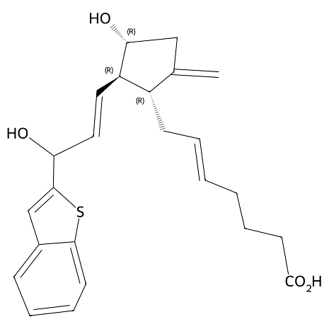 C=C1C[C@@H](O)[C@H](C=CC(O)c2cc3ccccc3s2)[C@H]1CC=CCCCC(=O)O